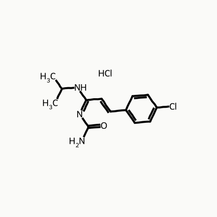 CC(C)NC(C=Cc1ccc(Cl)cc1)=NC(N)=O.Cl